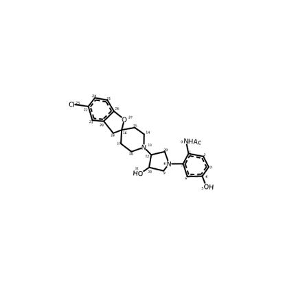 CC(=O)Nc1ccc(O)cc1N1CC(O)C(N2CCC3(CC2)Cc2cc(Cl)ccc2O3)C1